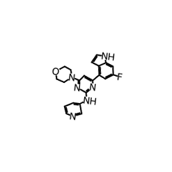 Fc1cc(-c2cc(N3CCOCC3)nc(Nc3cccnc3)n2)c2cc[nH]c2c1